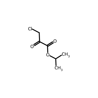 CC(C)OC(=O)C(=O)CCl